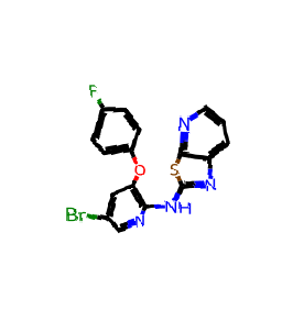 Fc1ccc(Oc2cc(Br)cnc2Nc2nc3cccnc3s2)cc1